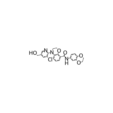 O=C(Nc1ccc2c(c1)OCCO2)c1cccc2c1OCCN2c1ncc(CO)cc1Cl